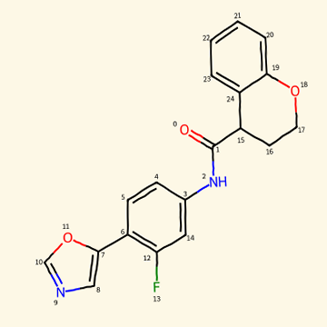 O=C(Nc1ccc(-c2cnco2)c(F)c1)C1CCOc2ccccc21